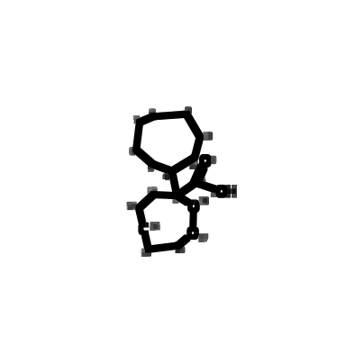 O=C(O)C1(C2CCCCCCC2)CCCCCOO1